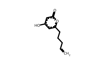 C=CCCCc1cc(O)cc(=O)o1